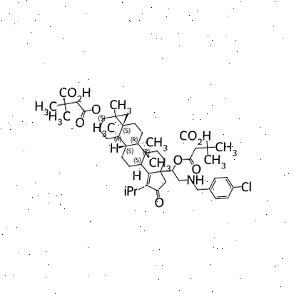 CC(C)C1=C2[C@H]3CC[C@@H]4[C@@]5(C)CC[C@H](OC(=O)CC(C)(C)C(=O)O)C6(C)C[C@]65CC[C@@]4(C)[C@]3(C)CCC2(C(CNCc2ccc(Cl)cc2)OC(=O)CC(C)(C)C(=O)O)CC1=O